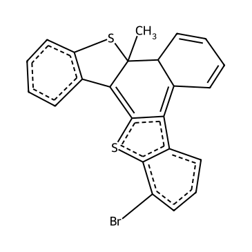 CC12Sc3ccccc3C1=c1sc3c(Br)cccc3c1=C1C=CC=CC12